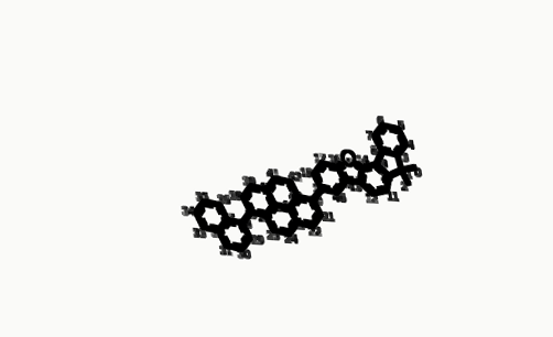 CC1(C)c2ccccc2-c2c1ccc1c2oc2ccc(-c3ccc4ccc5c(-c6cccc7ccccc67)ccc6ccc3c4c65)cc21